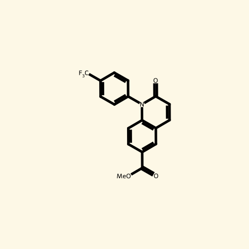 COC(=O)c1ccc2c(ccc(=O)n2-c2ccc(C(F)(F)F)cc2)c1